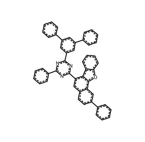 c1ccc(-c2cc(-c3ccccc3)cc(-c3nc(-c4ccccc4)nc(-c4cc5ccc(-c6ccccc6)cc5c5oc6ccccc6c45)n3)c2)cc1